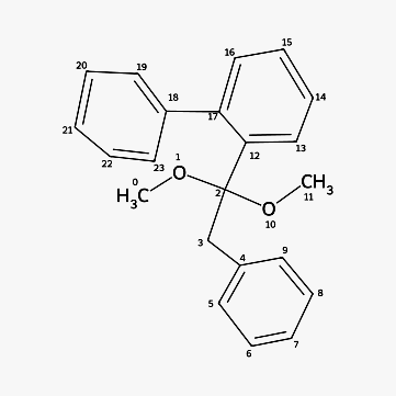 COC(Cc1ccccc1)(OC)c1ccccc1-c1ccccc1